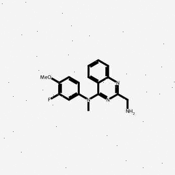 COc1ccc(N(C)c2nc(CN)nc3ccccc23)cc1F